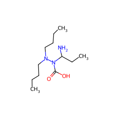 CCCCN(CCCC)N(C(=O)O)C(N)CC